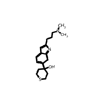 CN(C)CCCC1=CC2=CC=C(C3(O)CCSCC3)CC2=N1